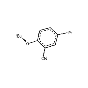 CC[C@H](C)Oc1ccc(C(C)C)cc1C#N